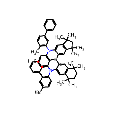 Cc1cc2c3c(c1)N(c1ccc(C(C)(C)C)cc1-c1ccccc1)c1cc4c(cc1B3c1cc3c(cc1N2c1cc(-c2ccccc2)ccc1C)C(C)(C)CC3(C)C)C(C)(C)CCC4(C)C